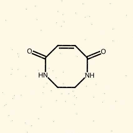 O=C1C=CC(=O)NCCN1